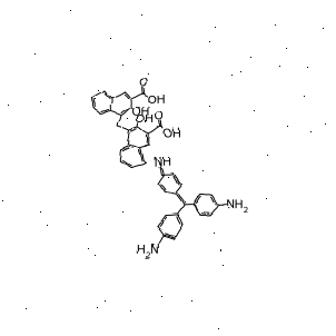 N=C1C=CC(=C(c2ccc(N)cc2)c2ccc(N)cc2)C=C1.O=C(O)c1cc2ccccc2c(Cc2c(O)c(C(=O)O)cc3ccccc23)c1O